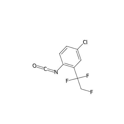 O=C=Nc1ccc(Cl)cc1C(F)(F)CF